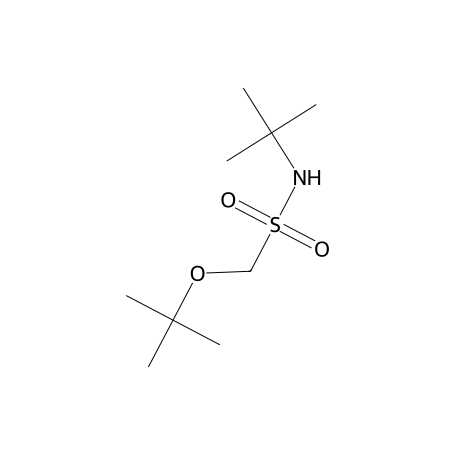 CC(C)(C)NS(=O)(=O)COC(C)(C)C